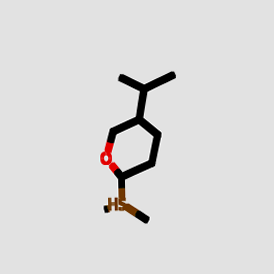 CC(C)C1CCC([SH](C)C)OC1